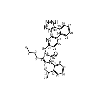 CCCCc1cn(-c2ccccc2C(C)C)c(=O)n1Cc1ccc(-c2ccccc2-c2nnn[nH]2)cn1